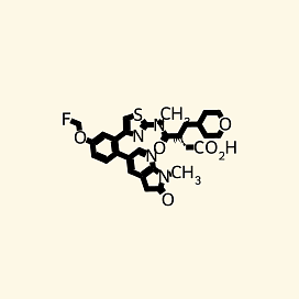 CN(C(=O)[C@@H](CC(=O)O)CC1CCOCC1)c1nc(-c2cc(OCF)ccc2-c2cnc3c(c2)CC(=O)N3C)cs1